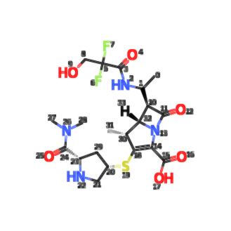 CC(NC(=O)C(F)(F)CO)[C@H]1C(=O)N2C(C(=O)O)=C(S[C@@H]3CN[C@H](C(=O)N(C)C)C3)[C@H](C)[C@H]12